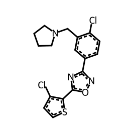 Clc1ccc(-c2noc(-c3sccc3Cl)n2)cc1CN1CCCC1